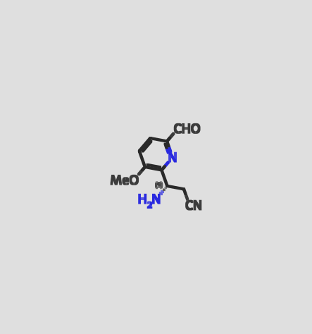 COc1ccc(C=O)nc1[C@@H](N)CC#N